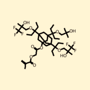 C=C(C)C(=O)OCC(=O)OC12CC3(C(CC)(CC)OCC(C)(C)O)CC(C(CC)(CC)OCC(C)(O)C(F)(F)F)(C1)CC(C(CC)(CC)OCC(C)(O)C(F)(F)F)(C2)C3